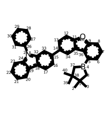 CC1(C)CB(c2cccc3oc4ccc(-c5ccc6c7ccccc7n(-c7ccccc7)c6c5)cc4c23)CC1(C)C